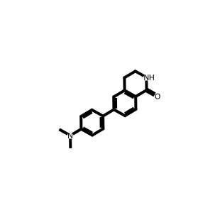 CN(C)c1ccc(-c2ccc3c(c2)CCNC3=O)cc1